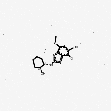 COc1cc(O)c(Cl)c2sc(N[C@H]3CCCC[C@@H]3O)nc12